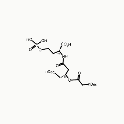 CCCCCCCCCCCC(=O)O[C@H](CCCCCCCCCCC)CC(=O)N[C@@H](CCOP(=O)(O)O)C(=O)O